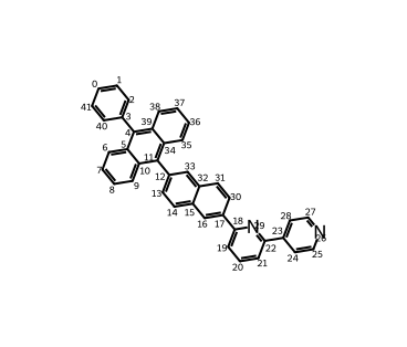 c1ccc(-c2c3ccccc3c(-c3ccc4cc(-c5cccc(-c6ccncc6)n5)ccc4c3)c3ccccc23)cc1